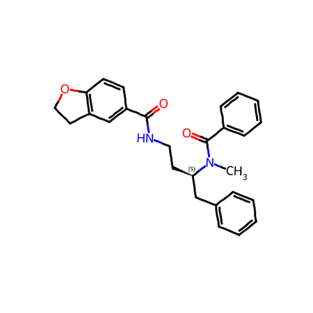 CN(C(=O)c1ccccc1)[C@H](CCNC(=O)c1ccc2c(c1)CCO2)Cc1ccccc1